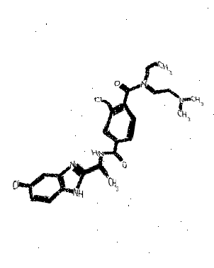 CCN(CCN(C)C)C(=O)c1ccc(C(=O)NC(C)c2nc3cc(Cl)ccc3[nH]2)cc1Cl